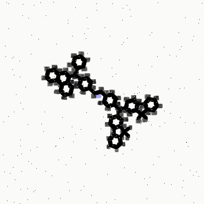 CC1(C)c2ccccc2-c2ccc(N(c3ccc(/C=C/c4ccc(N(c5ccccc5)c5cc6ccccc6c6ccccc56)cc4)cc3)c3ccc4c(c3)C(C)(C)c3ccccc3-4)cc21